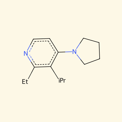 CCc1nccc(N2CCCC2)c1C(C)C